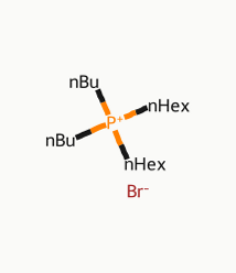 CCCCCC[P+](CCCC)(CCCC)CCCCCC.[Br-]